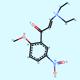 CCN(C=CC(=O)c1cc([N+](=O)[O-])ccc1OC)CC